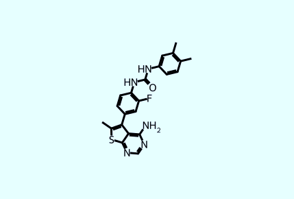 Cc1ccc(NC(=O)Nc2ccc(-c3c(C)sc4ncnc(N)c34)cc2F)cc1C